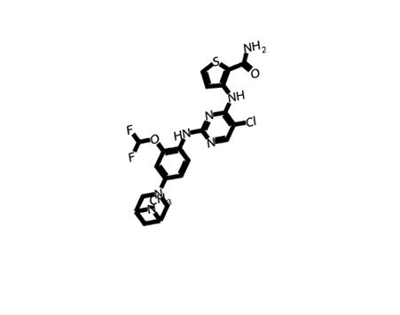 CN1C2CC1CN(c1ccc(Nc3ncc(Cl)c(Nc4ccsc4C(N)=O)n3)c(OC(F)F)c1)C2